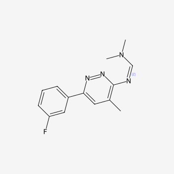 Cc1cc(-c2cccc(F)c2)nnc1/N=C\N(C)C